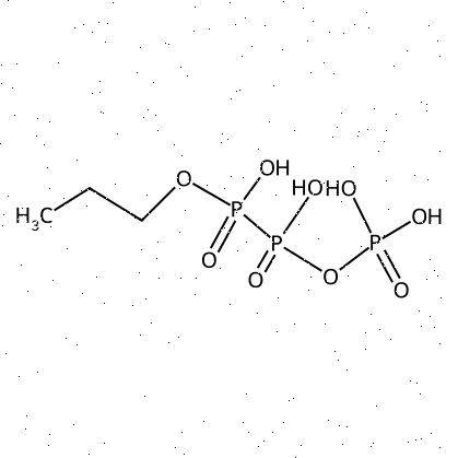 CCCOP(=O)(O)P(=O)(O)OP(=O)(O)O